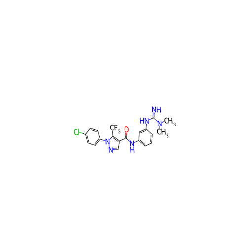 CN(C)C(=N)Nc1cccc(NC(=O)c2cnn(-c3ccc(Cl)cc3)c2C(F)(F)F)c1